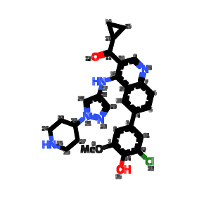 COc1cc(-c2ccc3ncc(C(=O)C4CC4)c(Nc4cnn(C5CCNCC5)c4)c3c2)cc(Cl)c1O